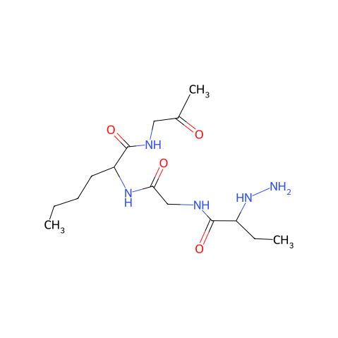 CCCCC(NC(=O)CNC(=O)C(CC)NN)C(=O)NCC(C)=O